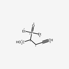 C#CCC(C(=O)O)P(=O)(CC)CC